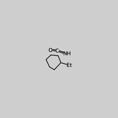 CCC1CCCCC1.N=C=O